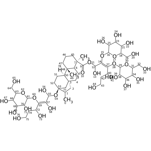 CC1C[C@@]23CCC4[C@](C)(C(=O)OC(O)/C(OC5OC(CO)C(O)C(O)C5O)=C(/OC5OC(CO)C(O)C(O)C5O)C(O)CCO)CCC[C@@]4(C)[C@@H]2CC[C@]1(OC(O)/C(O)=C(\OC1OC(CO)C(O)C(O)C1O)C(O)CCO)C3